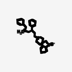 CN(Cc1ccccc1)C[C@H](CCN1CCC2(CC1)C[S@+]([O-])c1ccccc12)c1ccccc1